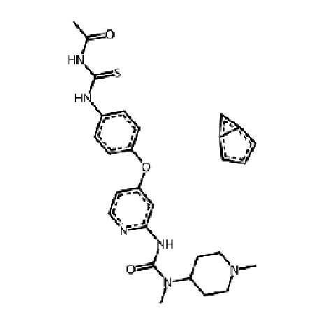 CC(=O)NC(=S)Nc1ccc(Oc2ccnc(NC(=O)N(C)C3CCN(C)CC3)c2)cc1.c1cc2cc-2c1